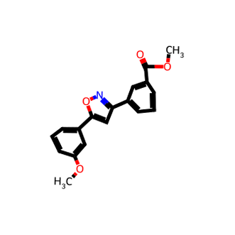 COC(=O)c1cccc(-c2cc(-c3cccc(OC)c3)on2)c1